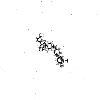 C/C=C(/c1ccc(Cl)s1)S(=O)(=O)N1CCN(CC2CCN(c3ccc(=O)[nH]n3)CC2)CC1